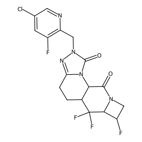 O=C1C2C(CCc3nn(Cc4ncc(Cl)cc4F)c(=O)n32)C(F)(F)C2C(F)CN12